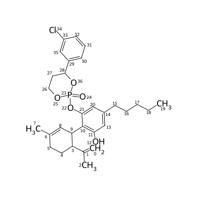 C=C(C)C1CCC(C)=CC1c1c(O)cc(CCCCC)cc1OP1(=O)OCCC(c2cccc(Cl)c2)O1